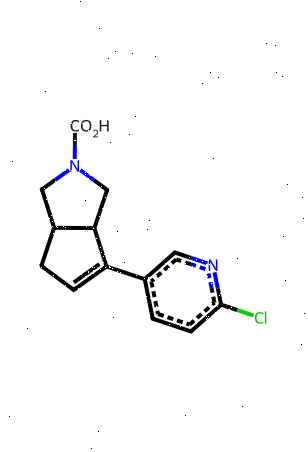 O=C(O)N1CC2CC=C(c3ccc(Cl)nc3)C2C1